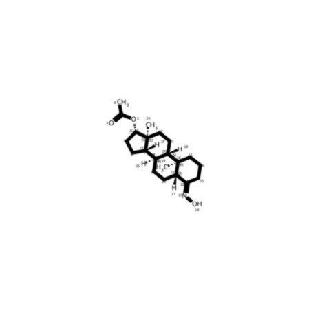 CC(=O)O[C@H]1CC[C@H]2[C@@H]3CC[C@H]4C(=NO)CCC[C@]4(C)[C@H]3CC[C@]12C